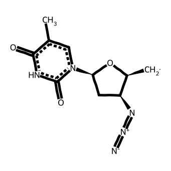 [CH2][C@@H]1O[C@H](n2cc(C)c(=O)[nH]c2=O)C[C@@H]1N=[N+]=[N-]